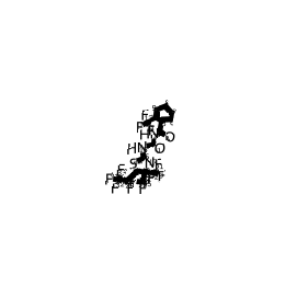 O=C(NC(=O)c1ccccc1C(F)(F)F)NC1=NC(C(F)(F)F)(C(F)(F)F)C(=C(F)C(F)(F)F)S1